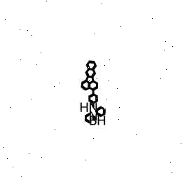 B1C=CC=CN1c1ccccc1Nc1ccc(C2=CCC3c4cc5ccccc5cc4-c4cccc2c43)cc1